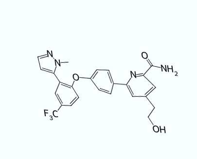 Cn1nccc1-c1cc(C(F)(F)F)ccc1Oc1ccc(-c2cc(CCO)cc(C(N)=O)n2)cc1